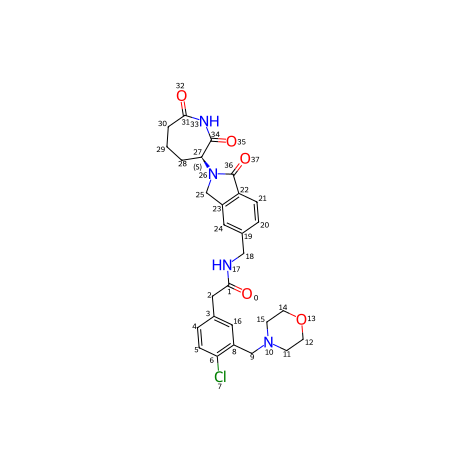 O=C(Cc1ccc(Cl)c(CN2CCOCC2)c1)NCc1ccc2c(c1)CN([C@H]1CCCC(=O)NC1=O)C2=O